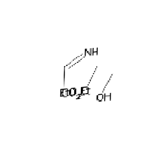 CCOC(=O)C=N.CCOC(C)=O.CO